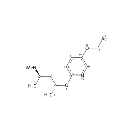 CN[C@H](C)C[C@@H](C)Oc1ccc(OCC(C)=O)cn1